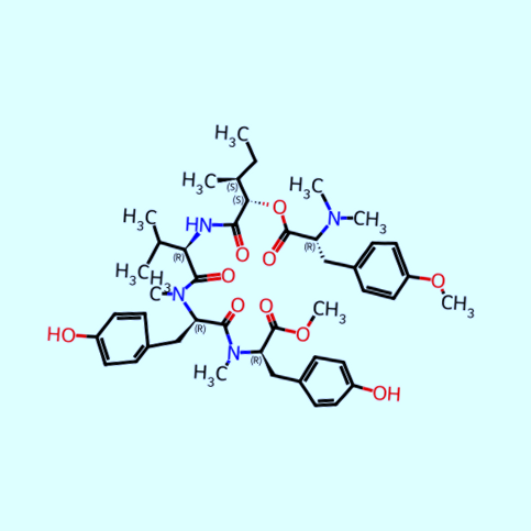 CC[C@H](C)[C@H](OC(=O)[C@@H](Cc1ccc(OC)cc1)N(C)C)C(=O)N[C@@H](C(=O)N(C)[C@H](Cc1ccc(O)cc1)C(=O)N(C)[C@H](Cc1ccc(O)cc1)C(=O)OC)C(C)C